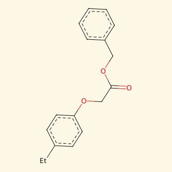 CCc1ccc(OCC(=O)OCc2ccccc2)cc1